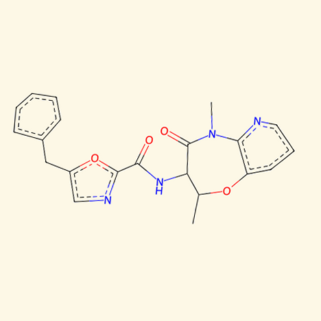 CC1Oc2cccnc2N(C)C(=O)C1NC(=O)c1ncc(Cc2ccccc2)o1